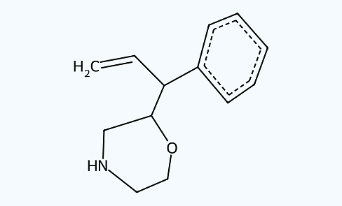 C=CC(c1ccccc1)C1CNCCO1